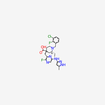 CC[C@@H]1C[C@](Cc2nc(Nc3cc(C)[nH]n3)cnc2F)(C(=O)O)CCN1Cc1cccc(Cl)c1F